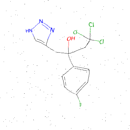 OC(Cc1c[nH]nn1)(CC(Cl)(Cl)Cl)c1ccc(F)cc1